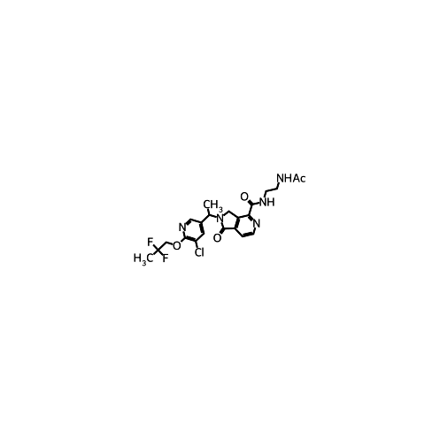 CC(=O)NCCNC(=O)c1nccc2c1CN(C(C)c1cnc(OCC(C)(F)F)c(Cl)c1)C2=O